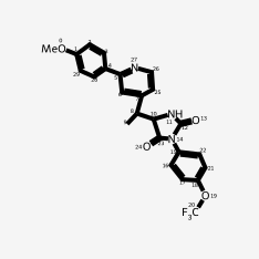 COc1ccc(-c2cc(C(C)C3NC(=O)N(c4ccc(OC(F)(F)F)cc4)C3=O)ccn2)cc1